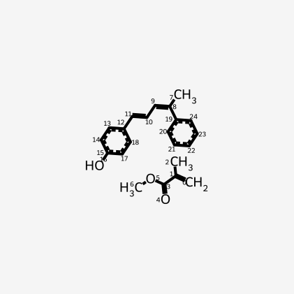 C=C(C)C(=O)OC.CC(=CC=Cc1ccc(O)cc1)c1ccccc1